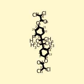 CC(C)(c1ccc(OC(=O)C(Cl)Cl)cc1F)C(C)(C)c1ccc(OC(=O)C(Cl)Cl)cc1F